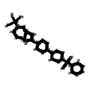 O=S(=O)(c1ccc(-c2ccc(-c3nc4cc(C(F)(F)F)ccc4[nH]3)cc2)cc1)c1ccccn1